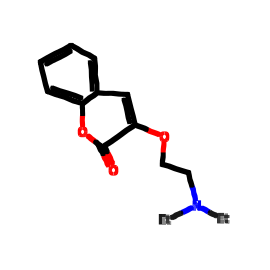 CCN(CC)CCOc1cc2ccccc2oc1=O